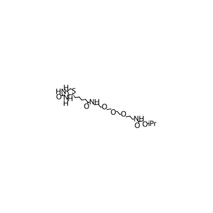 CC(C)OCC(=O)NCCCOCCOCCOCCCNC(=O)CCCC[C@@H]1SC[C@@H]2NC(=O)N[C@@H]21